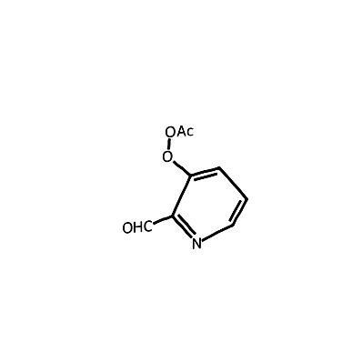 CC(=O)OOc1cccnc1C=O